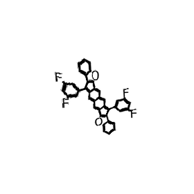 Fc1cc(F)cc(C2=c3cc4cc5c(cc4cc3-c3oc4ccccc4c32)=C(c2cc(F)cc(F)c2)c2c-5oc3ccccc23)c1